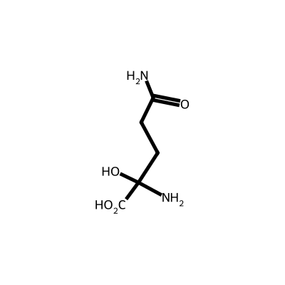 NC(=O)CCC(N)(O)C(=O)O